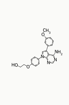 COc1cccc(-c2cn(-c3ccc(OCCO)cc3)c3ncnc(N)c23)c1